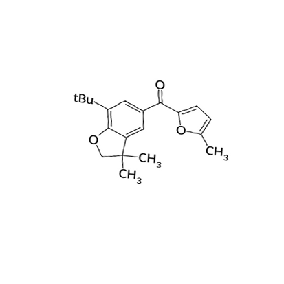 Cc1ccc(C(=O)c2cc(C(C)(C)C)c3c(c2)C(C)(C)CO3)o1